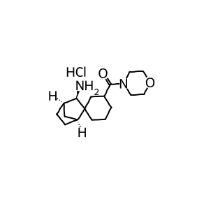 Cl.N[C@@H]1[C@@H]2CC[C@@H](C2)C12CCCC(C(=O)N1CCOCC1)C2